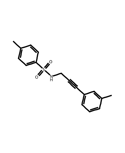 Cc1ccc(S(=O)(=O)NCC#Cc2cccc(C)c2)cc1